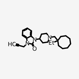 C#CCn1c(=O)n(C2CCN(CC3(CC)CCCCCCC3)CC2)c2ccccc21